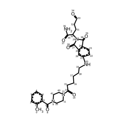 Cc1ccccc1C(=O)N1CCN(C(=O)CCCCCNc2ccc3c(c2)C(=O)N(C(CCC=O)C(N)=O)C3=O)CC1